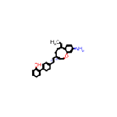 CCC1CCC(/C=C/C2=CC=C(C3=C(O)C=CCC3)CC2)=C\COC2C=C(N)C=CC12